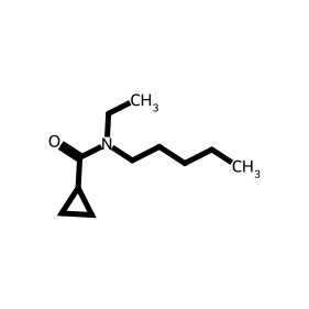 CCCCCN(CC)C(=O)C1CC1